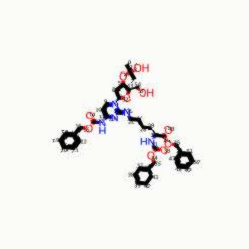 CC(C)(O)OC1C[C@H](n2ccc(NC(=O)OCc3ccccc3)n/c2=N\CCCC[C@H](NC(=O)OCC2=CC=CCC2)C(=O)OCc2ccccc2)O[C@@H]1CO